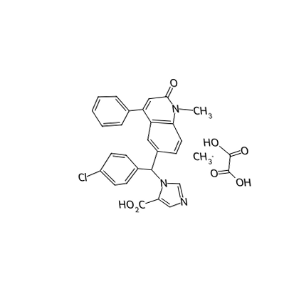 Cn1c(=O)cc(-c2ccccc2)c2cc(C(c3ccc(Cl)cc3)n3cncc3C(=O)O)ccc21.O=C(O)C(=O)O.[CH3]